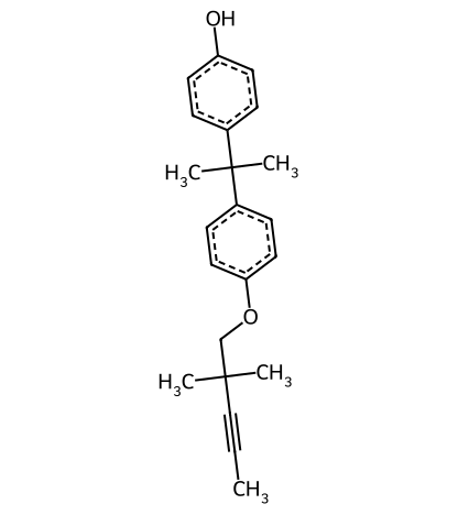 CC#CC(C)(C)COc1ccc(C(C)(C)c2ccc(O)cc2)cc1